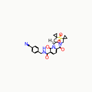 CC1(S(=O)(=O)C2(CN3CCn4c(ccc(C(=O)NCc5ccc(C#N)cc5)c4=O)C3=O)CC2)CC1